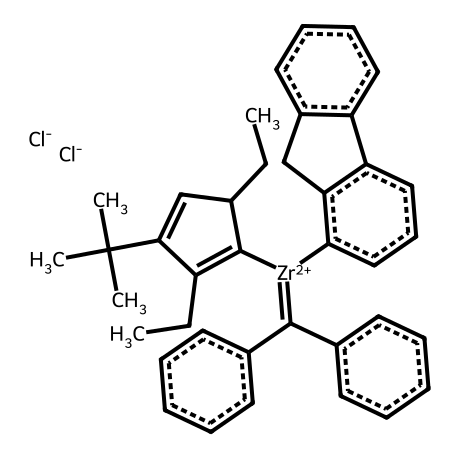 CCC1=[C]([Zr+2](=[C](c2ccccc2)c2ccccc2)[c]2cccc3c2Cc2ccccc2-3)C(CC)C=C1C(C)(C)C.[Cl-].[Cl-]